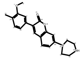 COc1cc(-c2cc3ccc(N4CCNCC4)cc3oc2=O)ccc1C